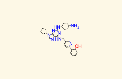 NC1CCC(Nc2nc(NCc3ccc(-c4ccccc4O)nc3)c3ncn(C4CCCC4)c3n2)CC1